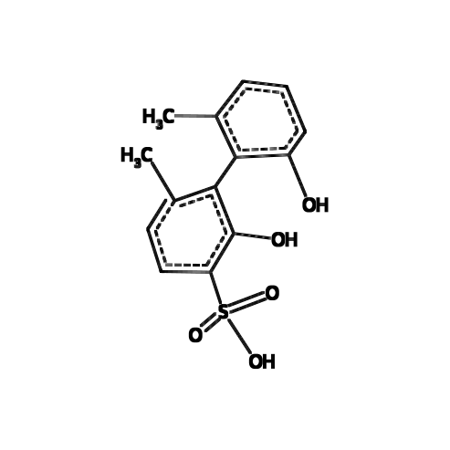 Cc1cccc(O)c1-c1c(C)ccc(S(=O)(=O)O)c1O